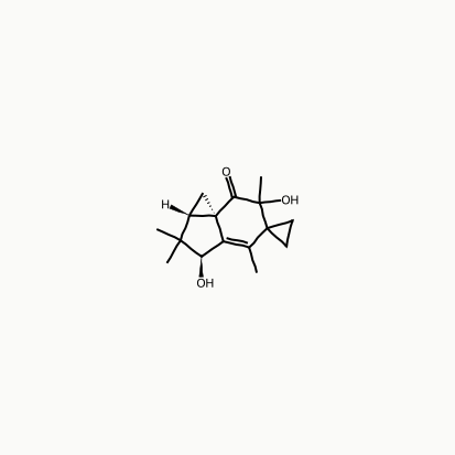 CC1=C2[C@@H](O)C(C)(C)[C@@H]3C[C@]23C(=O)C(C)(O)C12CC2